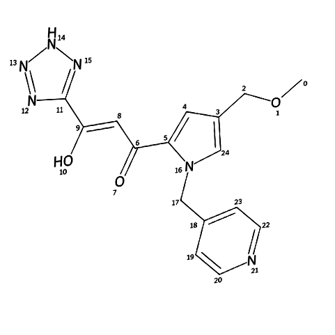 COCc1cc(C(=O)C=C(O)c2nn[nH]n2)n(Cc2ccncc2)c1